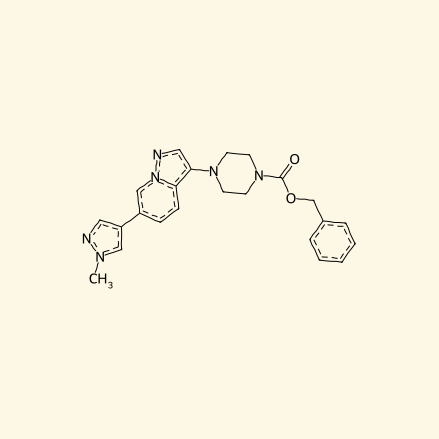 Cn1cc(-c2ccc3c(N4CCN(C(=O)OCc5ccccc5)CC4)cnn3c2)cn1